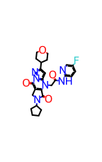 O=C(Cn1c2c(c(=O)n3nc(C4CCOCC4)cc13)CN(C1CCCC1)C2=O)Nc1ccc(F)cn1